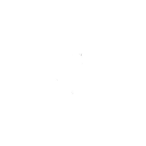 O=C1NC(=S)SC1Cc1c[nH]c2cccnc12